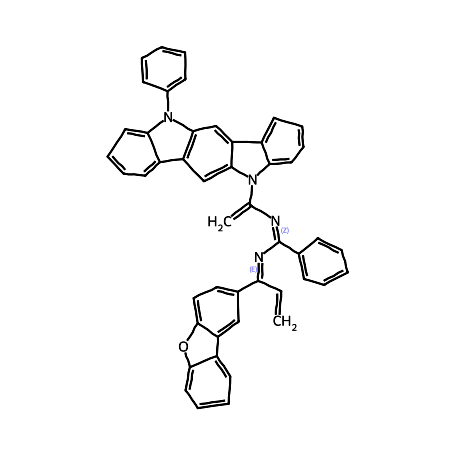 C=C/C(=N\C(=N/C(=C)n1c2ccccc2c2cc3c(cc21)c1ccccc1n3-c1ccccc1)c1ccccc1)c1ccc2oc3ccccc3c2c1